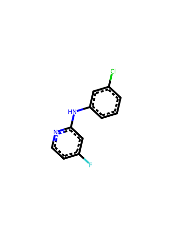 Fc1ccnc(Nc2cccc(Cl)c2)c1